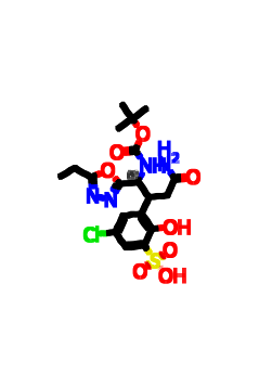 CCc1nnc([C@@H](NC(=O)OC(C)(C)C)C(CC(N)=O)c2cc(Cl)cc(S(=O)(=O)O)c2O)o1